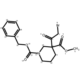 COC(=O)C1(C(=O)CBr)CCCN(C(=O)OCc2ccccc2)C1